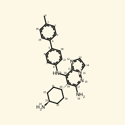 Cc1ccc(-c2ccc(Nc3c4nccn4nc(N)c3[C@H]3CC[C@H](N)CC3)cc2)cc1